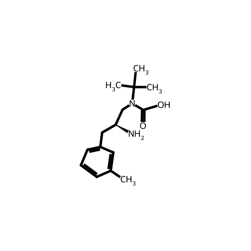 Cc1cccc(C[C@H](N)CN(C(=O)O)C(C)(C)C)c1